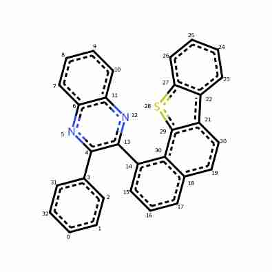 c1ccc(-c2nc3ccccc3nc2-c2cccc3ccc4c5ccccc5sc4c23)cc1